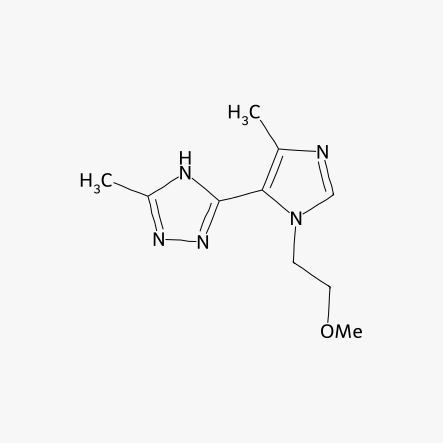 COCCn1cnc(C)c1-c1nnc(C)[nH]1